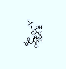 C=P(C)(C)CC[C@H]1OC(n2cc(CC(=O)OC)c(=O)[nH]c2=O)[C@H](OC)[C@@H]1O